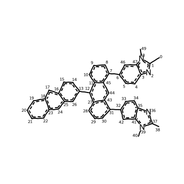 Cc1nc2ccc(-c3cccc4c(-c5ccc6cc7ccccc7cc6c5)c5cccc(-c6ccc7nc(C)n(C)c7c6)c5cc34)cc2n1C